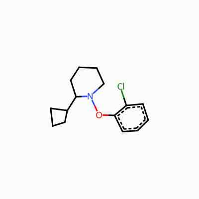 Clc1ccccc1ON1CCCCC1C1CCC1